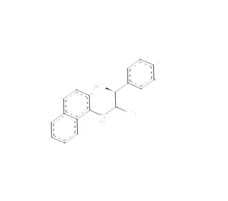 CC(Nc1cccc2ccccc12)[C@@H](O)c1ccccc1